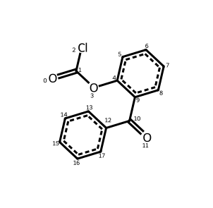 O=C(Cl)Oc1ccccc1C(=O)c1ccccc1